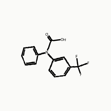 O=C(O)N(c1ccccc1)c1cccc(C(F)(F)F)c1